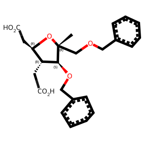 C[C@]1(COCc2ccccc2)O[C@H](CC(=O)O)[C@@H](CC(=O)O)[C@@H]1OCc1ccccc1